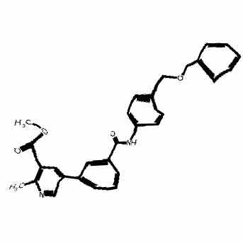 COC(=O)c1cc(-c2cccc(C(=O)Nc3ccc(COCc4ccccc4)cc3)c2)cnc1C